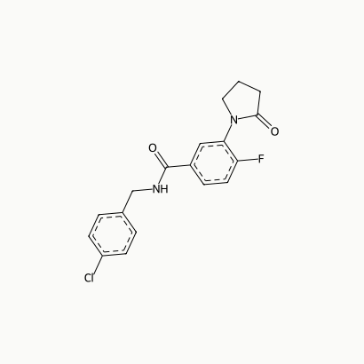 O=C(NCc1ccc(Cl)cc1)c1ccc(F)c(N2CCCC2=O)c1